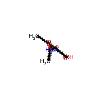 CCCCCCCCCCCC(=O)OC[C@H](CSC[C@H](N)C(=O)NCCCCCCCCCC(=O)O)OC(=O)CCCCCCCCCCC